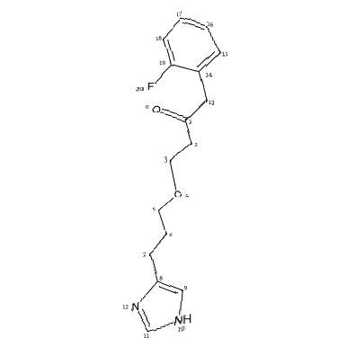 O=C(CCOCCCc1c[nH]cn1)Cc1ccccc1F